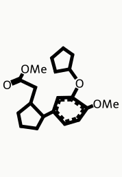 COC(=O)CC1CCCC1c1ccc(OC)c(OC2CCCC2)c1